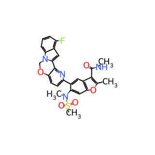 CNC(=O)c1c(C)oc2cc(N(C)S(C)(=O)=O)c(-c3ccc4c(n3)-c3cc5c(F)cccc5n3CO4)cc12